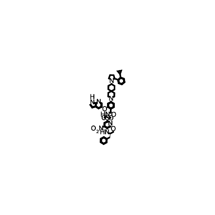 O=C(NS(=O)(=O)c1cc([N+](=O)[O-])c2c(n1)OC[C@H](Cc1ccccc1)N2)c1ccc(N2CCC3(CCC(N4CCCC4c4ccccc4C4CC4)CC3)CC2)cc1Oc1cnc2[nH]ccc2c1